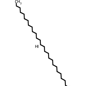 CCCCCCCCCCCCCCCCCCCCCCCCCCC.I